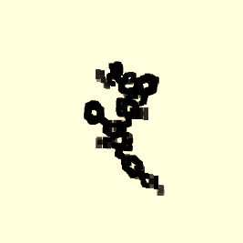 CN1CCN(CC(=O)N[C@@H](CCc2ccccc2)C(=O)NCC(=O)N[C@@H](Cc2ccccc2)C(=O)NCC(=O)[C@@]2(C)CO2)CC1